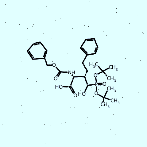 CC(C)(C)OP(=O)(OC(C)(C)C)C(O)[C@H](CCc1ccccc1)[C@H](NC(=O)OCc1ccccc1)C(=O)O